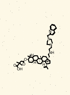 C=C(C)[C@@H]1CC[C@]2(CCNCCN3CCN(Cc4ccc5ccccc5n4)CC3)CC[C@]3(C)[C@H](CC[C@@H]4[C@@]5(C)CC[C@H](OC(=O)CC(C)(C)C(=O)O)C(C)(C)[C@@H]5CC[C@]43C)[C@@H]12